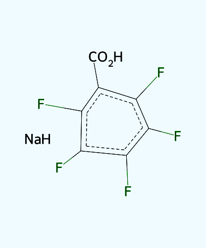 O=C(O)c1c(F)c(F)c(F)c(F)c1F.[NaH]